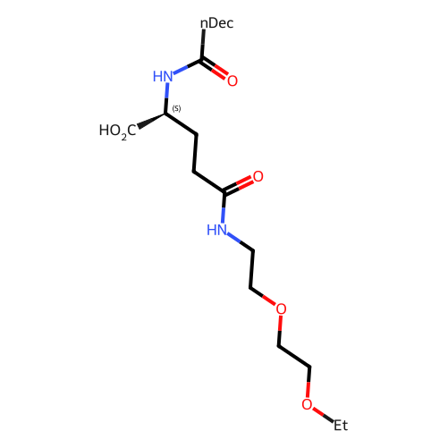 CCCCCCCCCCC(=O)N[C@@H](CCC(=O)NCCOCCOCC)C(=O)O